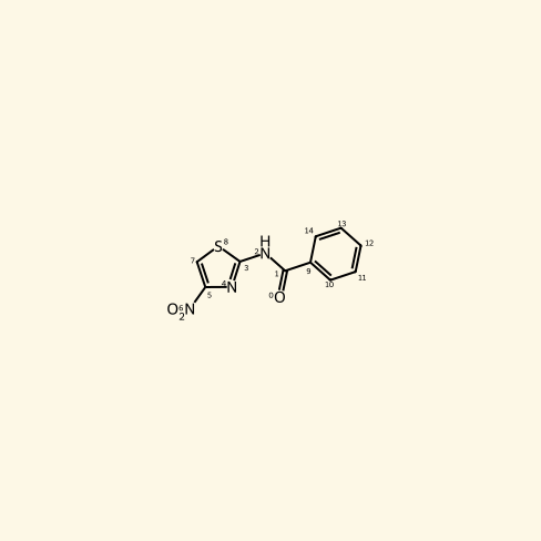 O=C(Nc1nc([N+](=O)[O-])cs1)c1ccccc1